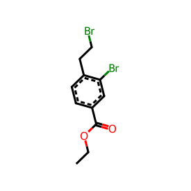 CCOC(=O)c1ccc(CCBr)c(Br)c1